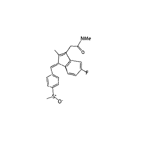 CNC(=O)CC1=C(C)/C(=C/c2ccc([S+](C)[O-])cc2)c2ccc(F)cc21